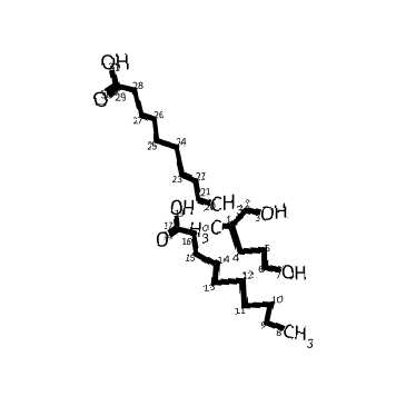 CC(CO)CCCO.CCCCCCCCCC(=O)O.CCCCCCCCCC(=O)O